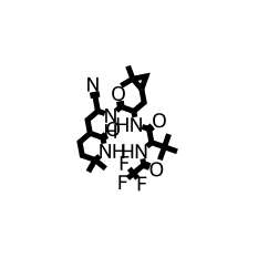 CC1(C)CCC(CC(C#N)NC(=O)C(CC2CC2(C)C)NC(=O)C(NC(=O)C(F)(F)F)C(C)(C)C)C(=O)N1